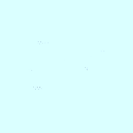 CNC(=O)CCc1c(-c2ccccc2)n(C)c(=O)c2cccc(OC)c12